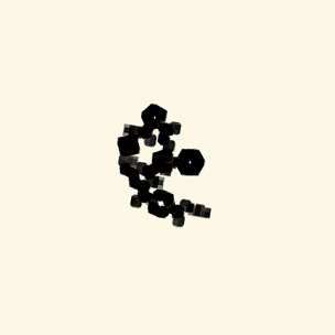 CCCCOC(=O)N1CCN(C(=O)C(CCCO)NC(=O)c2cc(OCC(=O)N3CCCC3C(=O)NC3CCC3)n(-c3ccccc3)n2)CC1